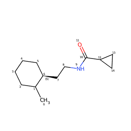 CC1CCCC[C@H]1CCNC(=O)C1CC1